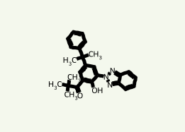 CC(C)(C)C(=O)c1cc(C(C)(C)c2ccccc2)cc(-n2nc3ccccc3n2)c1O